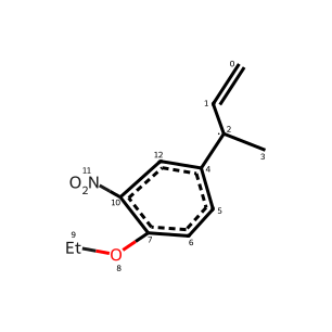 C=C[C](C)c1ccc(OCC)c([N+](=O)[O-])c1